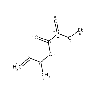 C=CC(C)OC(=O)[PH](=O)OCC